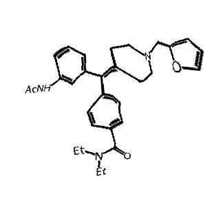 CCN(CC)C(=O)c1ccc(C(=C2CCN(Cc3ccco3)CC2)c2cccc(NC(C)=O)c2)cc1